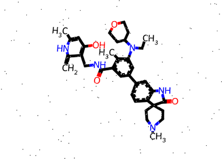 C=C1NC(C)=CC(O)=C1CNC(=O)c1cc(-c2ccc3c(c2)NC(=O)C32CCN(C)CC2)cc(N(CC)C2CCOCC2)c1C